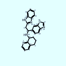 c1cnc2c(c1)CCCC2NC(Cc1nc2ccccc2[nH]1)c1ccc2ncoc2c1